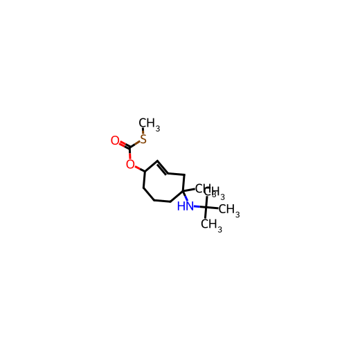 CSC(=O)OC1/C=C/CC(C)(NC(C)(C)C)CCC1